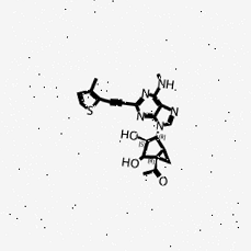 CNc1nc(C#Cc2sccc2C)nc2c1ncn2[C@@H]1C2C[C@]2(C(C)=O)C(O)[C@H]1O